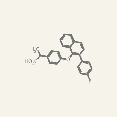 CC(C(=O)O)c1ccc(Oc2c(-c3ccc(F)cc3)ccc3ccccc23)cc1